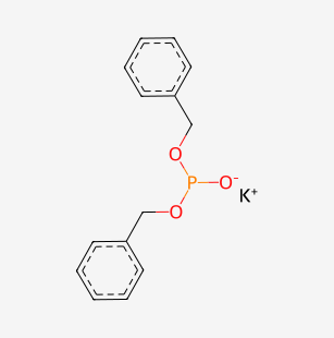 [K+].[O-]P(OCc1ccccc1)OCc1ccccc1